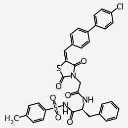 Cc1ccc(S(=O)(=O)NC(=O)[C@H](Cc2ccccc2)NC(=O)CN2C(=O)SC(=Cc3ccc(-c4ccc(Cl)cc4)cc3)C2=O)cc1